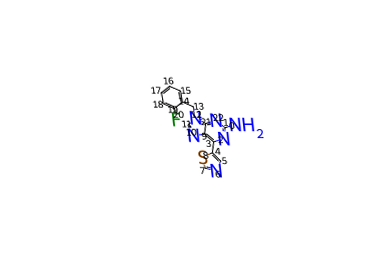 Nc1nc(-c2cncs2)c2ncn(Cc3ccccc3F)c2n1